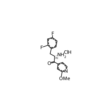 COc1cc(C(=O)[C@@H](N)Cc2ccc(F)cc2F)ccn1.Cl